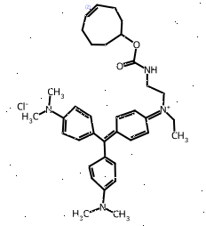 CC[N+](CCNC(=O)OC1CC/C=C\CCC1)=C1C=CC(=C(c2ccc(N(C)C)cc2)c2ccc(N(C)C)cc2)C=C1.[Cl-]